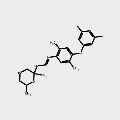 Cc1cc(Oc2cc(I)cc(I)c2)c(C)cc1/N=C/NC1(C)CNCC(C)O1